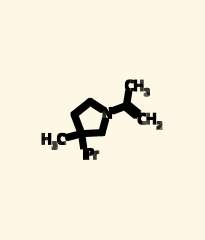 C=C(C)N1CCC(C)(C(C)C)C1